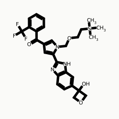 C[Si](C)(C)CCOCn1cc(C(=O)c2ccccc2C(F)(F)F)cc1-c1nc2ccc(C3(O)COC3)cc2[nH]1